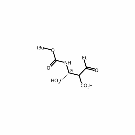 CCC(=O)C(C(=O)O)[C@@H](NC(=O)OC(C)(C)C)C(=O)O